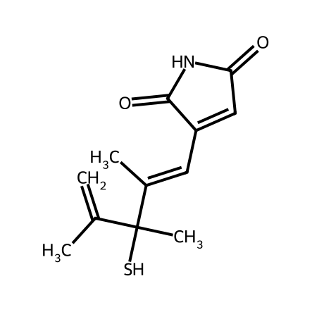 C=C(C)C(C)(S)/C(C)=C/C1=CC(=O)NC1=O